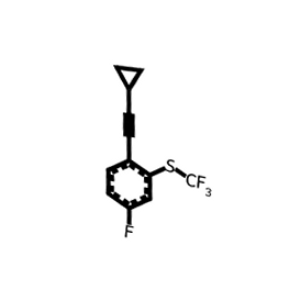 Fc1ccc(C#CC2CC2)c(SC(F)(F)F)c1